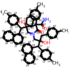 Cc1ccc(CC(O)(CN(CC(O)(Cc2ccc(C)cc2)C(c2ccc(C)cc2)c2cccc3ccccc23)C(=O)C2(C(N)=O)CCCCC2)C(c2ccc(C)cc2)c2cccc3ccccc23)cc1